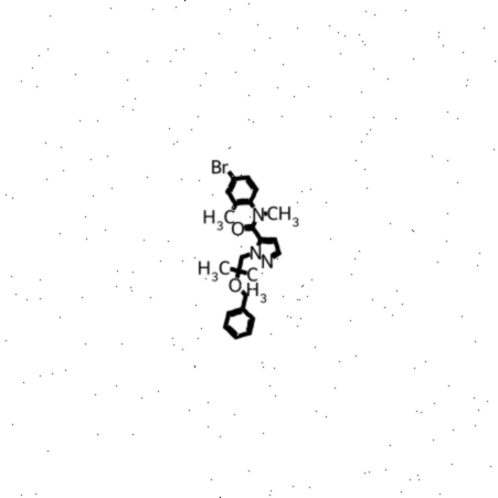 Cc1cc(Br)ccc1N(C)C(=O)c1ccnn1CC(C)(C)OCc1ccccc1